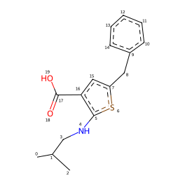 CC(C)CNc1sc(Cc2ccccc2)cc1C(=O)O